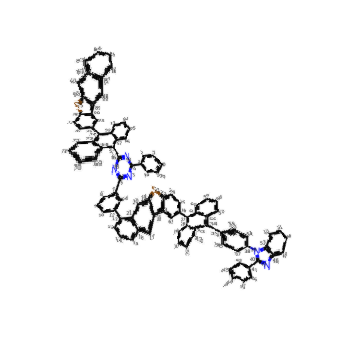 c1ccc(-c2nc(-c3cccc(-c4cccc5cc6c(cc45)sc4ccc(-c5c7ccccc7c(-c7ccc(-n8c(-c9ccccc9)nc9ccccc98)cc7)c7ccccc57)cc46)c3)nc(-c3c4ccccc4c(-c4ccc5sc6cc7ccccc7cc6c5c4)c4ccccc34)n2)cc1